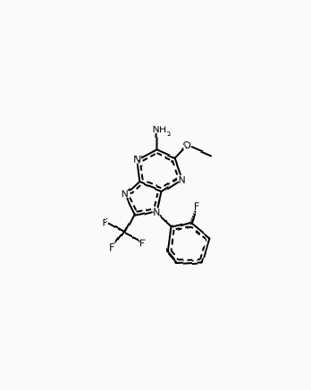 COc1nc2c(nc1N)nc(C(F)(F)F)n2-c1ccccc1F